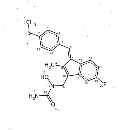 CSc1ccc(/C=C2\C(C)=C(CN(O)C(N)=O)c3cc(F)ccc32)cc1